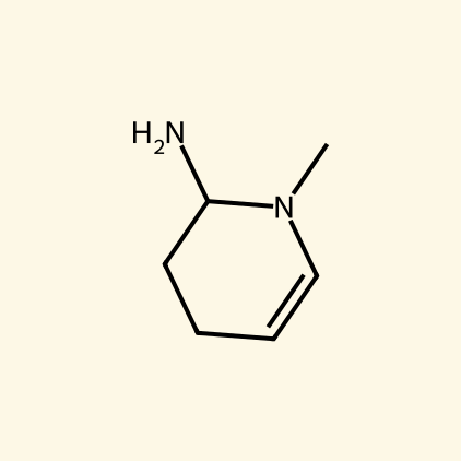 CN1C=CCCC1N